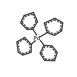 c1cc[c]([Pd]([c]2ccccc2)([c]2ccccc2)[c]2ccccc2)cc1